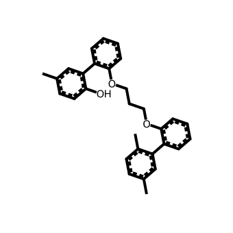 Cc1ccc(C)c(-c2ccccc2OCCCOc2ccccc2-c2cc(C)ccc2O)c1